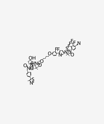 Cc1ncsc1-c1ccc(CNC(=O)[C@@H]2C[C@@H](O)CN2C(=O)[C@@H](NC(=O)COCCCCOc2ccc(-c3ncc(N4C(=S)N(c5ccc(C#N)c(C(F)(F)F)c5F)C(=O)C4(C)C)cc3F)c(F)c2)C(C)(C)C)cc1